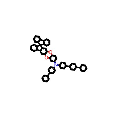 c1ccc(-c2ccc(-c3ccc(N(c4ccc(-c5ccccc5)cc4)c4ccc5c(c4)Oc4cc6c(cc4O5)C4(c5ccccc5-c5ccccc54)c4ccccc4-6)cc3)cc2)cc1